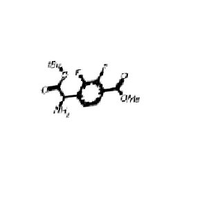 COC(=O)c1ccc(C(N)C(=O)OC(C)(C)C)c(F)c1F